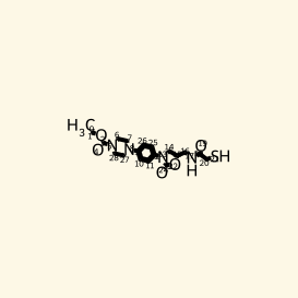 CCOC(=O)N1CCN(c2ccc(N3CC(CNC(=O)CS)OC3=O)cc2)CC1